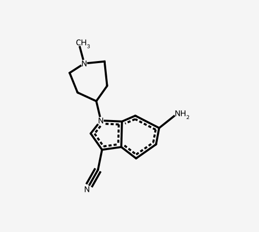 CN1CCC(n2cc(C#N)c3ccc(N)cc32)CC1